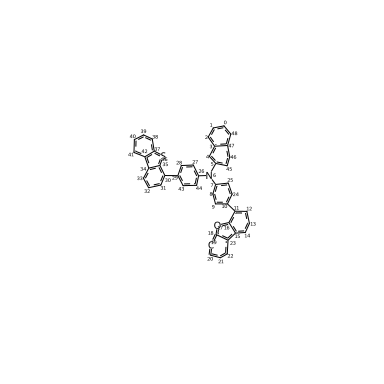 c1ccc2cc(N(c3ccc(-c4cccc5c4oc4ccccc45)cc3)c3ccc(-c4cccc5c4sc4ccccc45)cc3)ccc2c1